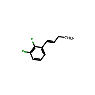 O=[C]CC=Cc1cccc(F)c1F